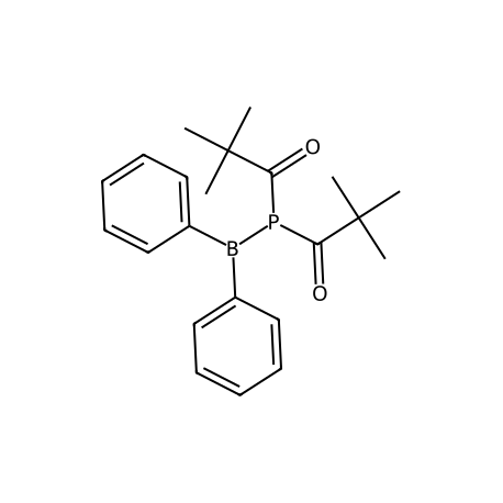 CC(C)(C)C(=O)P(B(c1ccccc1)c1ccccc1)C(=O)C(C)(C)C